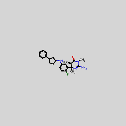 C=C1C(=O)N(C)C(N)=N[C@]1(C)c1cc(NC2CCC(c3ccccc3)C2)ccc1F